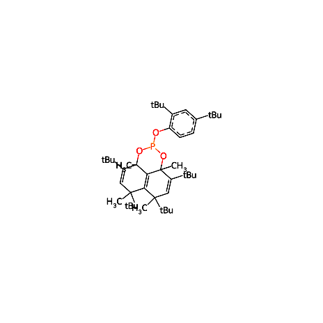 CC(C)(C)C1=CC(C)(C(C)(C)C)C2=C3C1(C)OP(Oc1ccc(C(C)(C)C)cc1C(C)(C)C)OC3(C)C(C(C)(C)C)=CC2(C)C(C)(C)C